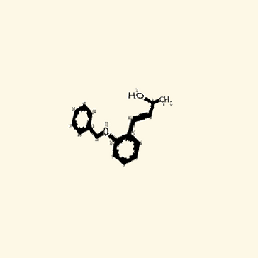 CC(O)C=Cc1ccccc1OCc1ccccc1